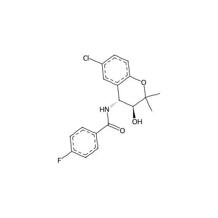 CC1(C)Oc2ccc(Cl)cc2[C@@H](NC(=O)c2ccc(F)cc2)[C@@H]1O